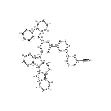 N#Cc1cccc(-c2cccc(-c3cc(-n4c5ccccc5c5ccccc54)cc(-n4c5ccccc5c5c6sc7ccccc7c6ccc54)c3)c2)c1